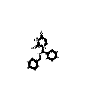 O=c1ccn(C(OCc2ccccc2)c2ccccc2)c(=O)[nH]1